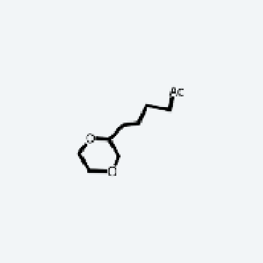 CC(=O)CCCCC1COCCO1